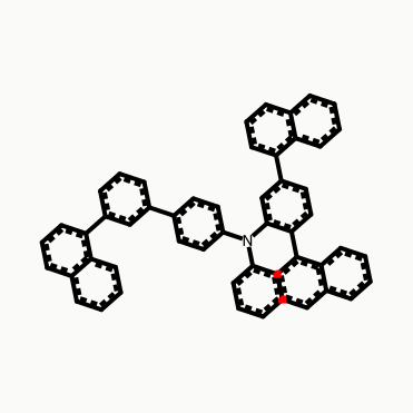 c1ccc(N(c2ccc(-c3cccc(-c4cccc5ccccc45)c3)cc2)c2cc(-c3cccc4ccccc34)ccc2-c2cccc3ccccc23)cc1